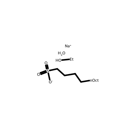 CCCCCCCCCCCCS(=O)(=O)[O-].CCO.O.[Na+]